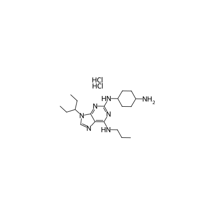 CCCNc1nc(NC2CCC(N)CC2)nc2c1ncn2C(CC)CC.Cl.Cl